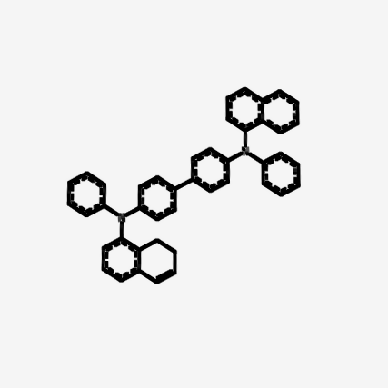 C1=Cc2cccc(N(c3ccccc3)c3ccc(-c4ccc(N(c5ccccc5)c5cccc6ccccc56)cc4)cc3)c2CC1